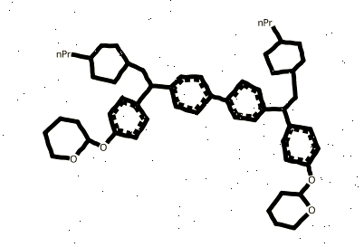 CCCC1CCC(CC(c2ccc(OC3CCCCO3)cc2)c2ccc(-c3ccc(C(CC4CCC(CCC)CC4)c4ccc(OC5CCCCO5)cc4)cc3)cc2)CC1